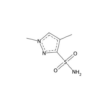 Cc1cn(C)nc1S(N)(=O)=O